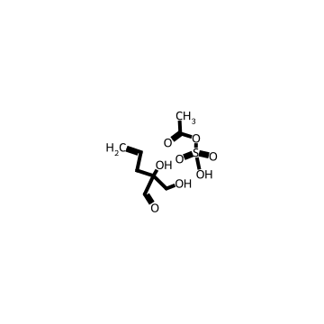 C=CCC(O)(C=O)CO.CC(=O)OS(=O)(=O)O